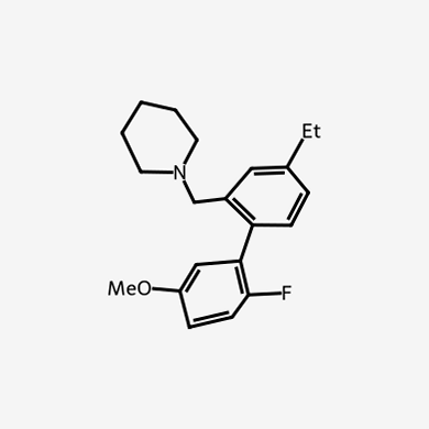 CCc1ccc(-c2cc(OC)ccc2F)c(CN2CCCCC2)c1